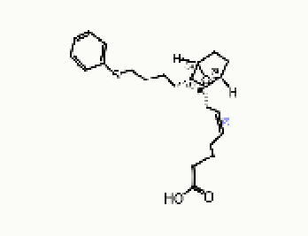 O=C(O)CCC/C=C\C[C@@H]1[C@H](CCCCSc2ccccc2)[C@@H]2CC[C@H]1O2